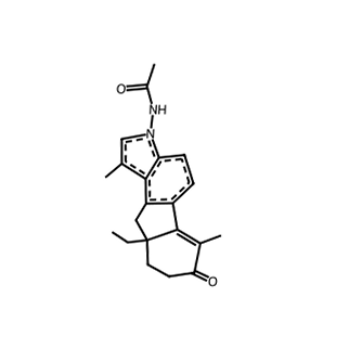 CCC12CCC(=O)C(C)=C1c1ccc3c(c(C)cn3NC(C)=O)c1C2